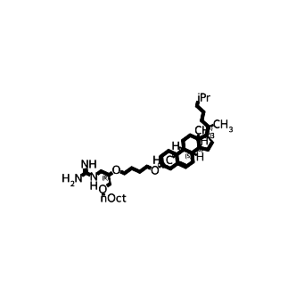 CCCCCCCCOC[C@@H](CNC(=N)N)OCCCCO[C@H]1CC[C@@]2(C)C(=CC[C@H]3[C@@H]4CC[C@H]([C@H](C)CCCC(C)C)[C@@]4(C)CC[C@@H]32)C1